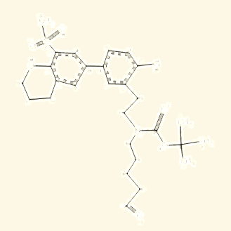 CC(C)(C)OC(=O)N(CCCCC=O)CCc1cc(-c2cc3c(c(S(N)(=O)=O)c2)OCCC3)ccc1Cl